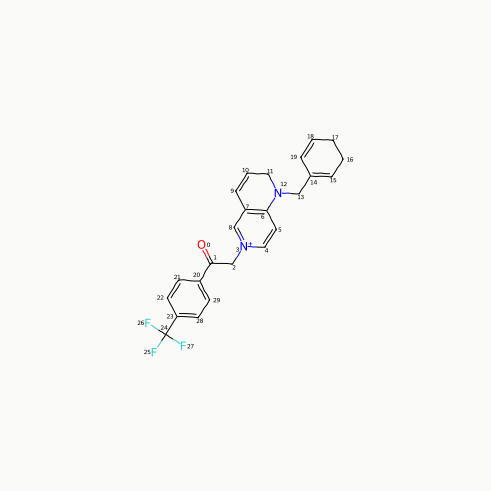 O=C(C[n+]1ccc2c(c1)C=CCN2CC1=CCCC=C1)c1ccc(C(F)(F)F)cc1